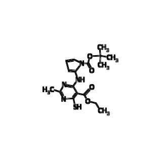 CCOC(=O)c1c(S)nc(C)nc1Nc1cccn1C(=O)OC(C)(C)C